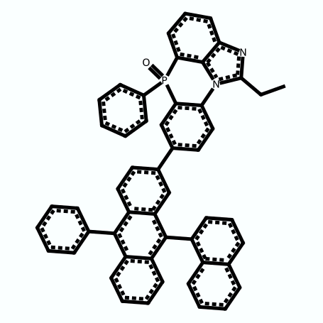 CCc1nc2cccc3c2n1-c1ccc(-c2ccc4c(-c5ccccc5)c5ccccc5c(-c5cccc6ccccc56)c4c2)cc1P3(=O)c1ccccc1